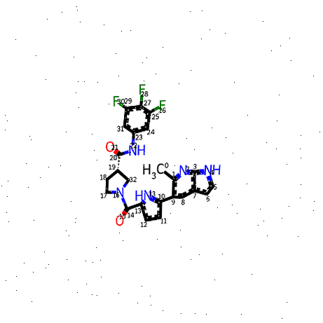 Cc1nc2[nH]ccc2cc1-c1ccc(C(=O)N2CC[C@H](C(=O)Nc3cc(F)c(F)c(F)c3)C2)[nH]1